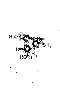 Cc1cc(C#N)ncc1Oc1cc(Nc2ccc(CN(C)C)cn2)c2ncn(C)c2n1.O=CO